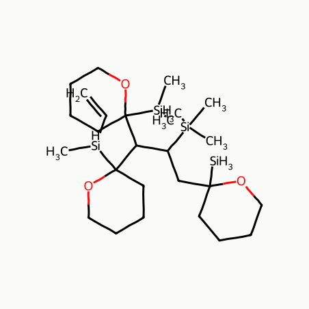 C=C[SiH](C)C1(C(C(CC2([SiH3])CCCCO2)[Si](C)(C)C)C2([SiH](C)C)CCCCO2)CCCCO1